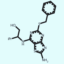 CC(C)C(CO)Nc1nc(SCc2ccccc2)nc2nc(N)sc12